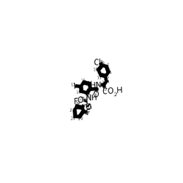 O=C(NC(Cc1ccc(Cl)cc1)C(=O)O)c1ccc(I)cc1NS(=O)(=O)c1c(F)cccc1F